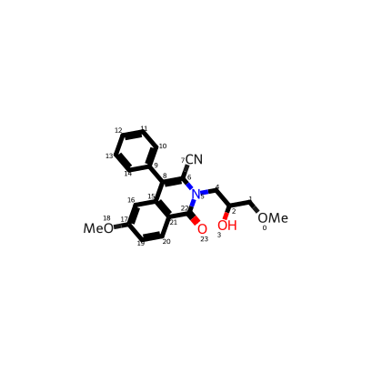 COCC(O)Cn1c(C#N)c(-c2ccccc2)c2cc(OC)ccc2c1=O